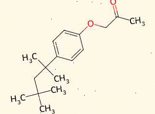 CC(=O)COc1ccc(C(C)(C)CC(C)(C)C)cc1